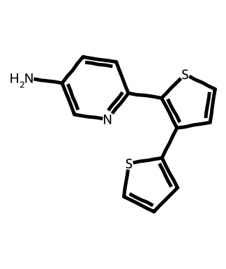 Nc1ccc(-c2sccc2-c2cccs2)nc1